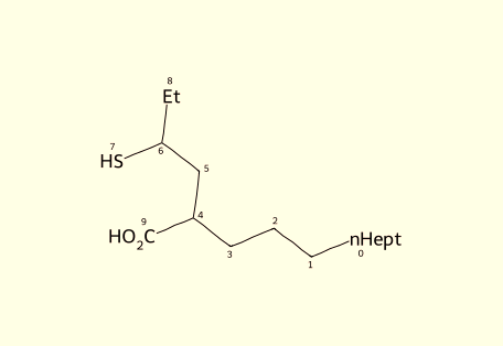 CCCCCCCCCCC(CC(S)CC)C(=O)O